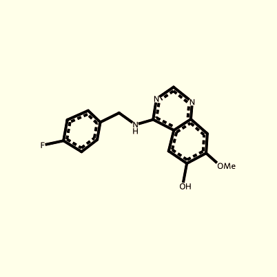 COc1cc2ncnc(NCc3ccc(F)cc3)c2cc1O